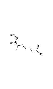 CCCOC(=O)C(C)SCCCC(F)CCC